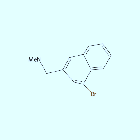 CNCc1cc(Br)c2ccccc2c1